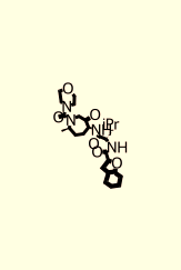 CC(C)C[C@H](NC(=O)c1cc2ccccc2o1)C(=O)N[C@H]1CC[C@@H](C)N(C(=O)N2CCOCC2)CC1=O